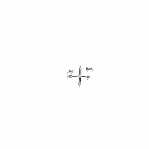 O=S(=O)(O)O.[BaH2].[Nd]